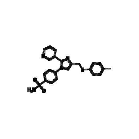 Cc1ccc(SCc2cn(-c3ccc(S(N)(=O)=O)cc3)c(-c3cccnc3)n2)cc1